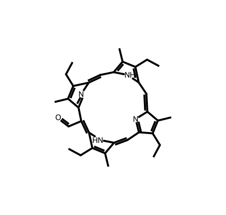 CCC1=C(C)c2cc3[nH]c(cc4nc(c(C=O)c5[nH]c(cc1n2)c(C)c5CC)C(C)=C4CC)c(C)c3CC